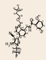 COc1ccc(F)cc1C(=O)NCc1ccc(-c2nn(C(C)(C)C(F)(F)F)c(N)c2C#N)c2cnn(COCC[Si](C)(C)C)c12